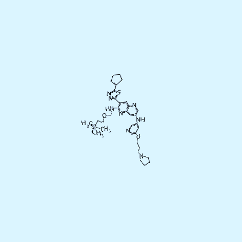 C[Si](C)(C)CCOCNc1nc2cc(Nc3cncc(OCCCN4CCCC4)c3)cnc2cc1-c1nnc(C2CCCC2)s1